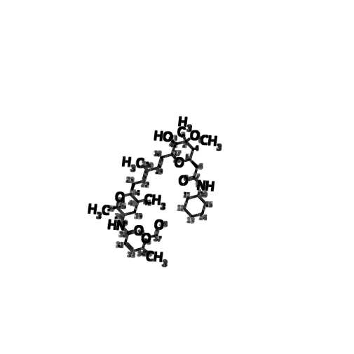 COC1(C)C[C@@H](CC(=O)NC2CCCCC2)OC(/C=C/C(C)=C/C[C@@H]2OC(C)C(NC(=O)/C=C\C(C)OC=O)CC2C)[C@H]1O